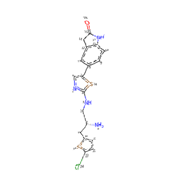 N[C@@H](CNc1ncc(-c2ccc3c(c2)CC(=O)N3)s1)Cc1ccc(Cl)s1